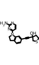 Nc1nccc(N2CCc3ccc(C#CC4(O)CCSC4)cc32)n1